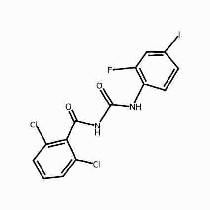 O=C(NC(=O)c1c(Cl)cccc1Cl)Nc1ccc(I)cc1F